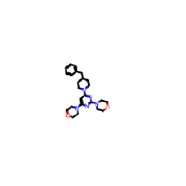 c1ccc(CC2CCN(c3cc(N4CCOCC4)nc(N4CCOCC4)n3)CC2)cc1